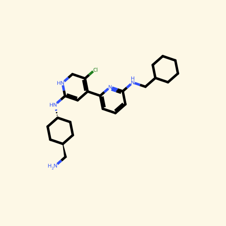 NC[C@H]1CC[C@H](NC2=CC(c3cccc(NCC4CCCCC4)n3)=C(Cl)CN2)CC1